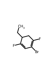 CCC1CC(F)=C(Br)C=C1F